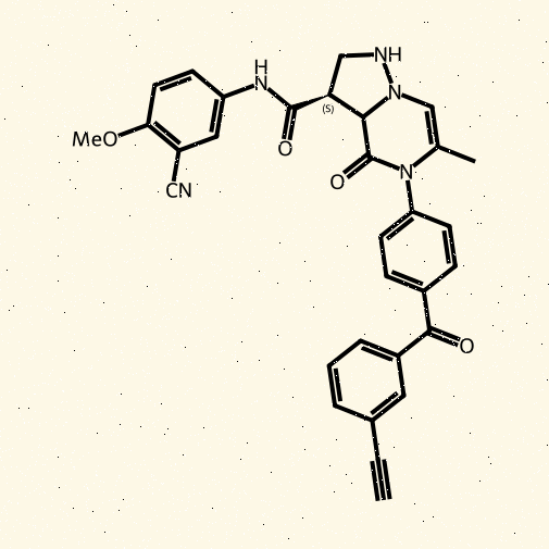 C#Cc1cccc(C(=O)c2ccc(N3C(=O)C4[C@@H](C(=O)Nc5ccc(OC)c(C#N)c5)CNN4C=C3C)cc2)c1